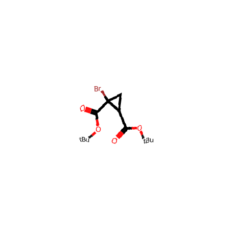 CC(C)(C)OC(=O)C1CC1(Br)C(=O)OC(C)(C)C